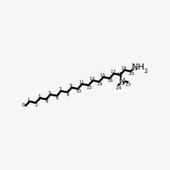 CCCCCCCCCCCCCCCCCCC(CCN)N(C)C